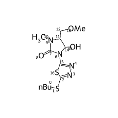 CCCCSc1nnc(N2C(=O)N(C)C(COC)C2O)s1